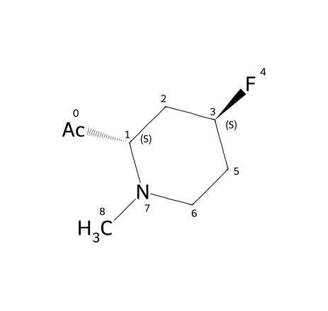 CC(=O)[C@@H]1C[C@@H](F)CCN1C